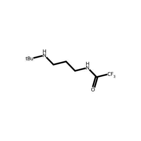 CC(C)(C)NCCCNC(=O)C(F)(F)F